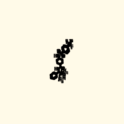 CC(C)(O)[C@@H](NC(=O)C1CCC(NS(=O)(=O)c2ccc(C(F)(F)F)cc2)CC1)c1ccccc1